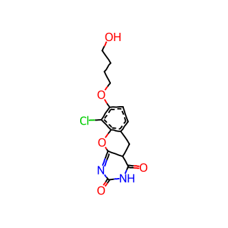 O=C1N=C2Oc3c(ccc(OCCCCO)c3Cl)CC2C(=O)N1